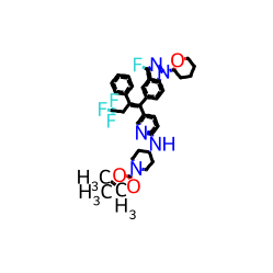 CC(C)(C)OC(=O)N1CCC(Nc2ccc(C(=C(CC(F)(F)F)c3ccccc3)c3ccc4c(c3)c(F)nn4C3CCCCO3)cn2)CC1